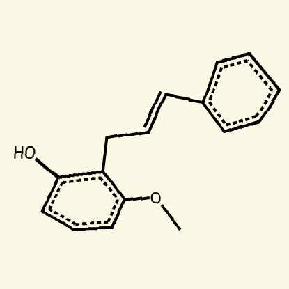 COc1cccc(O)c1CC=Cc1ccccc1